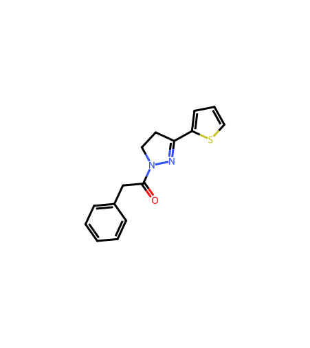 O=C(Cc1ccccc1)N1CCC(c2cccs2)=N1